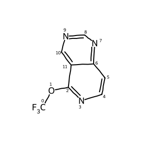 FC(F)(F)Oc1nccc2ncncc12